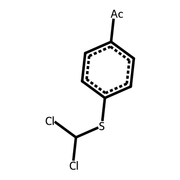 CC(=O)c1ccc(SC(Cl)Cl)cc1